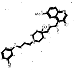 COc1ccc2ncc(Cl)c([C@H](F)CCC3(C(=O)O)CCN(CCCSc4cccc(Cl)c4)CC3)c2c1